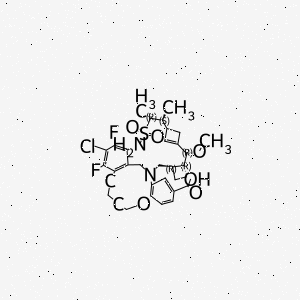 CO[C@@H](C1=CC([C@H](C)[C@@H](C)S(N)(=O)=O)C1)[C@@H]1CC[C@H]1CN1Cc2cc(F)c(Cl)c(F)c2CCCCOc2ccc(C(=O)O)cc21